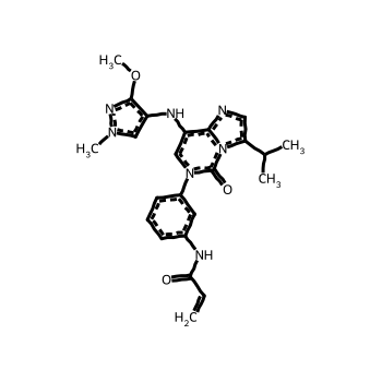 C=CC(=O)Nc1cccc(-n2cc(Nc3cn(C)nc3OC)c3ncc(C(C)C)n3c2=O)c1